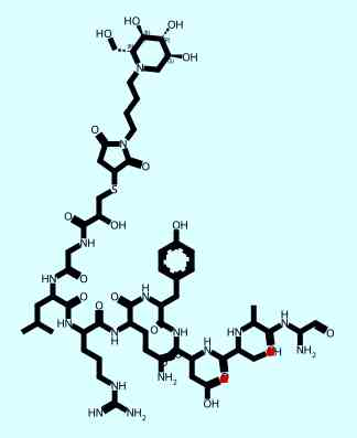 CC(C)CC(NC(=O)CNC(=O)C(O)CSC1CC(=O)N(CCCCN2C[C@H](O)[C@@H](O)[C@H](O)[C@H]2CO)C1=O)C(=O)NC(CCCNC(=N)N)C(=O)NC(CCC(N)=O)C(=O)NC(Cc1ccc(O)cc1)C(=O)NC(=O)C(CC(=O)O)NC(=O)C(CO)NC(C)C(=O)NC(N)C=O